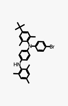 Cc1cc(C)c(Nc2ccc(N(c3ccc(Br)cc3)c3c(C)cc(C(C)(C)C)cc3C)cc2)c(C)c1